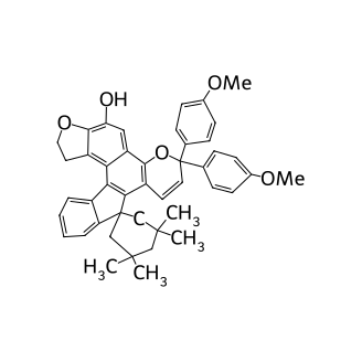 COc1ccc(C2(c3ccc(OC)cc3)C=Cc3c4c(c5c6c(c(O)cc5c3O2)OCC6)-c2ccccc2C42CC(C)(C)CC(C)(C)C2)cc1